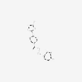 O=C(NNc1ccc(Cl)cc1F)c1ccc(-c2noc(C(F)(F)F)n2)cc1